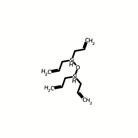 C=CC[SiH](CC=C)O[SiH](CC=C)CC=C